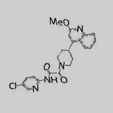 COc1cc(C2CCN(C(=O)C(=O)Nc3ccc(Cl)cn3)CC2)c2ccccc2n1